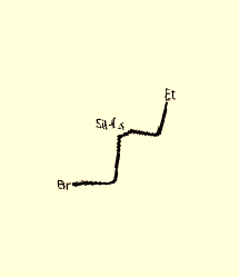 CCCCCBr.[SiH4]